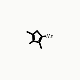 CC1=C(C)C(C)=[C]([Mn])C1